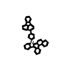 c1ccc2c(c1)-c1cccc3c(-c4ccc(-n5c6ccccc6c6c7ccccc7c7c8ccccc8ccc7c65)cc4)ccc-2c13